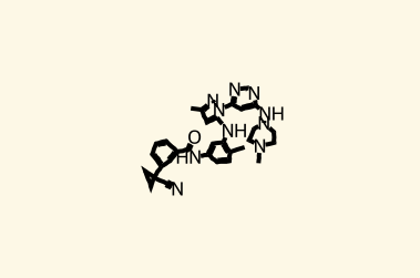 Cc1cc(Nc2cc(NC(=O)c3cccc(C4(C#N)CC4)c3)ccc2C)n(-c2cc(NN3CCN(C)CC3)ncn2)n1